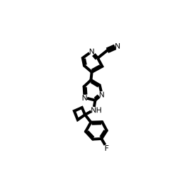 N#Cc1cc(-c2cnc(NC3(c4ccc(F)cc4)CCC3)nc2)ccn1